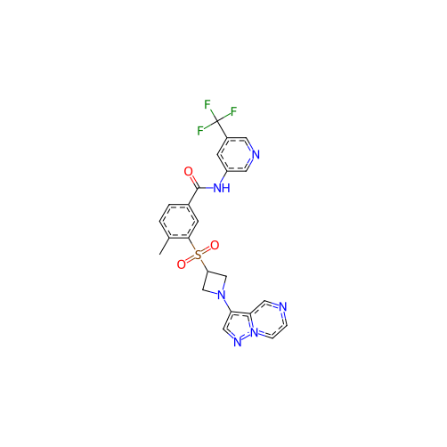 Cc1ccc(C(=O)Nc2cncc(C(F)(F)F)c2)cc1S(=O)(=O)C1CN(c2cnn3ccncc23)C1